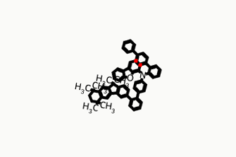 CC1(C)CCC(C)(C)c2cc3c(cc21)-c1cc(-c2ccccc2-c2ccc(N(c4ccccc4-c4ccc(-c5ccccc5)cc4)c4cccc5c4oc4ccccc45)cc2)ccc1C3(C)C